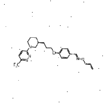 C=CCON=Cc1ccc(OCCCC2CCCN(c3ccc(C(F)(F)F)nn3)C2)cc1